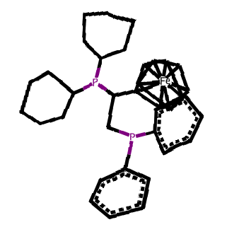 c1ccc(P(CC(P(C2CCCCC2)C2CCCCC2)[C]23[CH]4[CH]5[CH]6[CH]2[Fe]56432789[CH]3[CH]2[CH]7[CH]8[CH]39)c2ccccc2)cc1